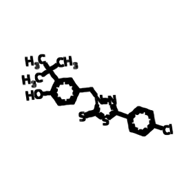 CC(C)(C)c1cc(Cn2nc(-c3ccc(Cl)cc3)sc2=S)ccc1O